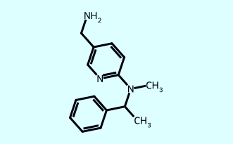 CC(c1ccccc1)N(C)c1ccc(CN)cn1